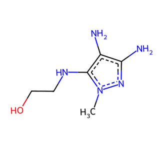 Cn1nc(N)c(N)c1NCCO